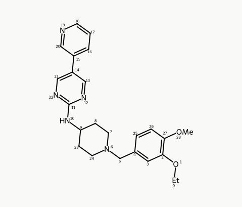 CCOc1cc(CN2CCC(Nc3ncc(-c4cccnc4)cn3)CC2)ccc1OC